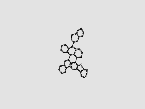 c1ccc2cc(-c3c4ccccc4c(-c4ccc5ccccc5c4)c4c(-c5cccc6c5sc5ccccc56)cccc34)ccc2c1